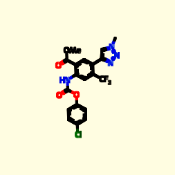 COC(=O)c1cc(-c2cn(C)nn2)c(C(F)(F)F)cc1NC(=O)Oc1ccc(Cl)cc1